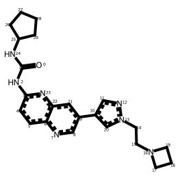 O=C(Nc1ccc2ncc(-c3cnn(CCN4CCC4)c3)cc2n1)NC1CCCC1